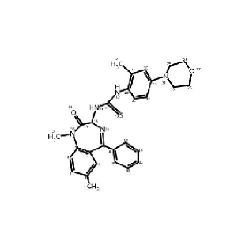 Cc1ccc2c(c1)C(c1ccccc1)=NC(NC(=S)Nc1ccc(N3CCOCC3)cc1C)C(=O)N2C